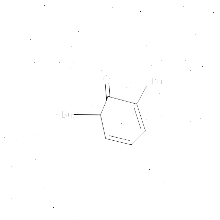 CC(C)(C)C1=CC=CC(C(C)(C)C)C1=O